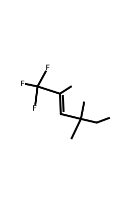 CCC(C)(C)/C=C(\C)C(F)(F)F